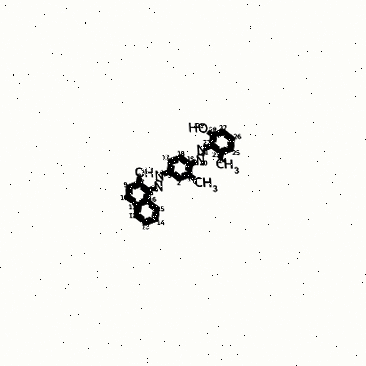 Cc1cc(N=Nc2c(O)ccc3ccccc23)ccc1N=Nc1c(C)cccc1O